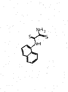 NC(=S)C(=S)Nc1cccc2ccccc12